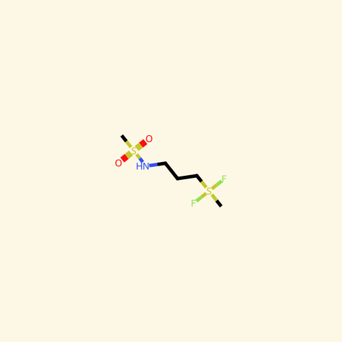 CS(F)(F)CCCNS(C)(=O)=O